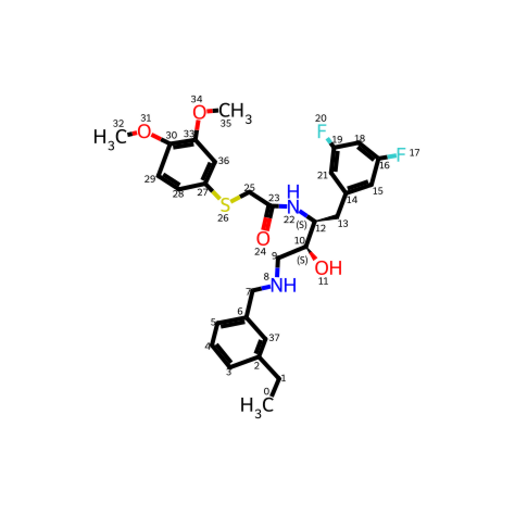 CCc1cccc(CNC[C@H](O)[C@H](Cc2cc(F)cc(F)c2)NC(=O)CSc2ccc(OC)c(OC)c2)c1